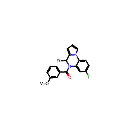 CCC1c2cccn2-c2ccc(F)cc2N1C(=O)c1cccc(OC)c1